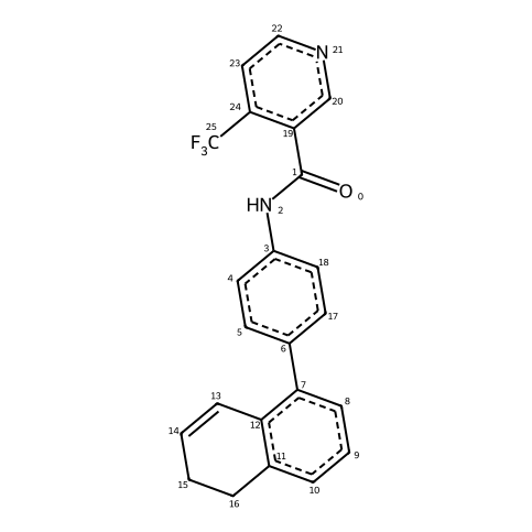 O=C(Nc1ccc(-c2cccc3c2C=CCC3)cc1)c1cnccc1C(F)(F)F